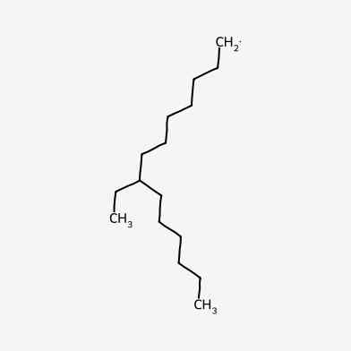 [CH2]CCCCCCC(CC)CCCCCC